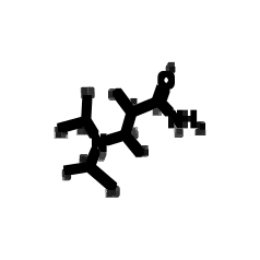 CC(C(N)=O)C(C)N(C(C)C)C(C)C